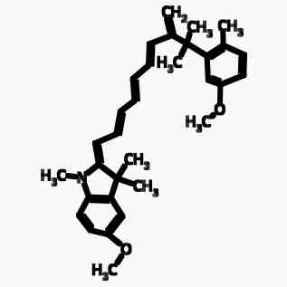 C=C(/C=C/C=C/C=C/C=C1/N(C)c2ccc(OC)cc2C1(C)C)C(C)(C)c1cc(OC)ccc1C